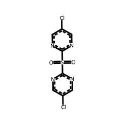 O=S(=O)(c1ncc(Cl)cn1)c1ncc(Cl)cn1